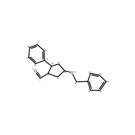 O=CC1CC(OCc2ccccc2)CC1c1ccccc1